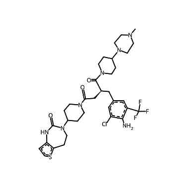 CN1CCN(C2CCN(C(=O)[C@H](CC(=O)N3CCC(N4CCc5sccc5NC4=O)CC3)Cc3cc(Cl)c(N)c(C(F)(F)F)c3)CC2)CC1